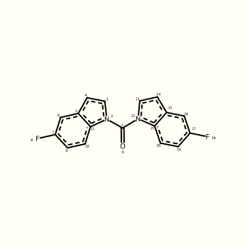 O=C(n1ccc2cc(F)ccc21)n1ccc2cc(F)ccc21